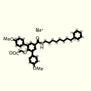 COc1ccc(-c2cc(C(=O)NCCCCCCCCc3ccccc3)cc(-c3ccc(OC)cc3)c2OCC(=O)[O-])cc1.[Na+]